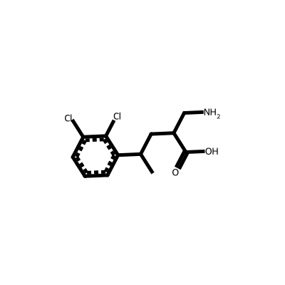 CC(CC(CN)C(=O)O)c1cccc(Cl)c1Cl